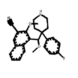 COc1c(C#N)cc2ccccc2c1C(OC)C1(c2ccc(F)cc2)CCNCC1